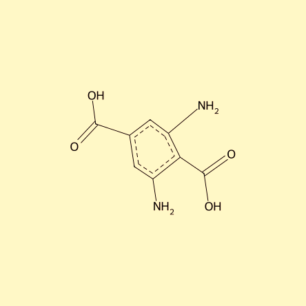 Nc1cc(C(=O)O)cc(N)c1C(=O)O